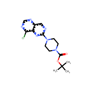 CC(C)(C)OC(=O)N1CCN(c2ncc3ncnc(Cl)c3n2)CC1